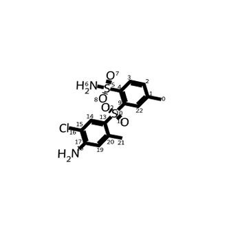 Cc1ccc(S(N)(=O)=O)c(S(=O)(=O)c2cc(Cl)c(N)cc2C)c1